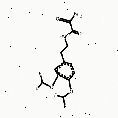 NC(=O)C(=O)NCCc1ccc(OC(F)F)c(OC(F)F)c1